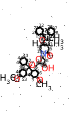 COc1ccc(C(OC[C@H]2O[C@H](N3CC[C@@H](O[Si](c4ccccc4)(c4ccccc4)C(C)(C)C)CCC3=O)C[C@@H]2O)(c2ccccc2)c2ccc(OC)cc2)cc1